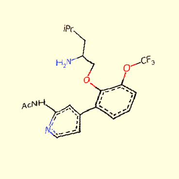 CC(=O)Nc1cc(-c2cccc(OC(F)(F)F)c2OCC(N)CC(C)C)ccn1